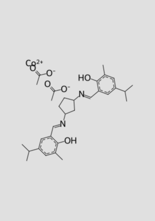 CC(=O)[O-].CC(=O)[O-].Cc1cc(C(C)C)cc(C=NC2CCC(N=Cc3cc(C(C)C)cc(C)c3O)C2)c1O.[Co+2]